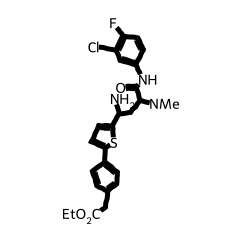 CCOC(=O)Cc1ccc(-c2ccc(C(N)CC(NC)C(=O)Nc3ccc(F)c(Cl)c3)s2)cc1